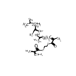 C=C(C)C(=O)OCCOC(=O)C(=C)C.CC(O)O.CC(O)O.CC(O)O